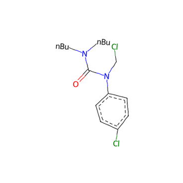 CCCCN(CCCC)C(=O)N(CCl)c1ccc(Cl)cc1